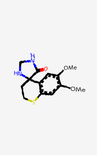 COc1cc2c(cc1OC)C1(CCS2)NCNC1=O